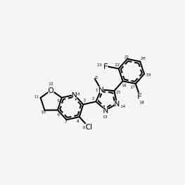 Cn1c(-c2nc3c(cc2Cl)CCO3)nnc1-c1c(F)cccc1F